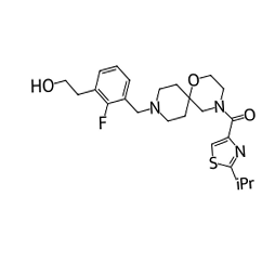 CC(C)c1nc(C(=O)N2CCOC3(CCN(Cc4cccc(CCO)c4F)CC3)C2)cs1